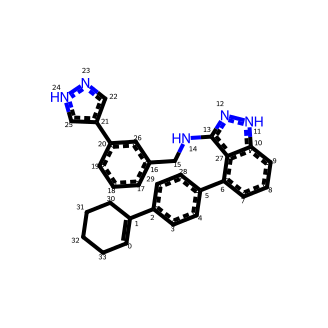 C1=C(c2ccc(-c3cccc4[nH]nc(NCc5cccc(-c6cn[nH]c6)c5)c34)cc2)CCCC1